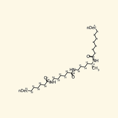 CCCCCCCCCCCCCCCCCC(=O)N[C@H](C)CCCCNC(=O)CCCCCNC(=O)CCCCCCCCCCCCCCC